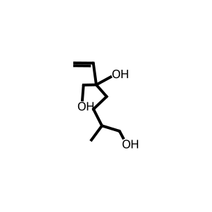 C=CC(O)(CO)CCC(C)CO